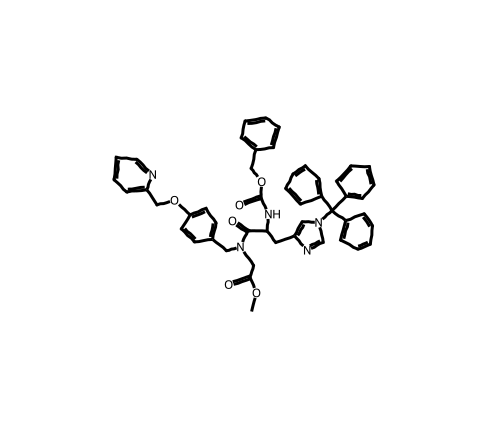 COC(=O)CN(Cc1ccc(OCc2ccccn2)cc1)C(=O)C(Cc1cn(C(c2ccccc2)(c2ccccc2)c2ccccc2)cn1)NC(=O)OCc1ccccc1